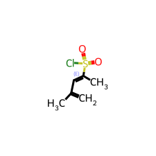 C=C(C)/C=C(\C)S(=O)(=O)Cl